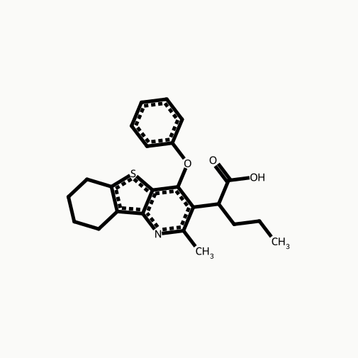 CCCC(C(=O)O)c1c(C)nc2c3c(sc2c1Oc1ccccc1)CCCC3